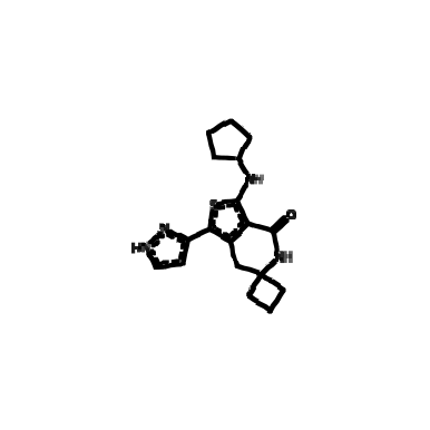 O=C1NC2(CCC2)Cc2c(-c3cc[nH]n3)sc(NC3CCCC3)c21